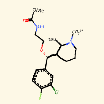 COC(=O)NCCO[C@@H](c1ccc(F)c(Cl)c1)C1CCCN(C(=O)O)C1C(C)(C)C